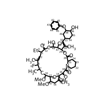 CCC1/C=C(\C)C(F)C(C)CC(OC)C2OC(O)(C(=O)C(=O)N3CCCCC3C(=O)OC(C(C)=CC3CCC(O)C(Oc4ccccc4)C3)C(C)C(O)CC1=O)C(C)CC2OC